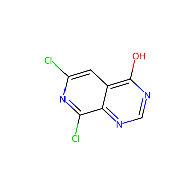 Oc1ncnc2c(Cl)nc(Cl)cc12